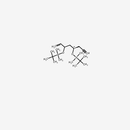 C#CC[C@H](CC(C=C)O[Si](C)(C)C(C)(C)C)O[Si](C)(C)C(C)(C)C